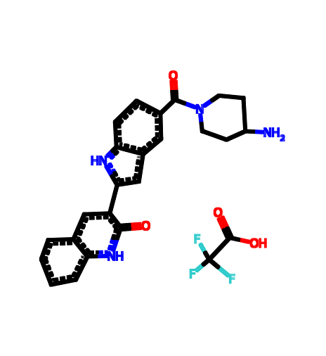 NC1CCN(C(=O)c2ccc3[nH]c(-c4cc5ccccc5[nH]c4=O)cc3c2)CC1.O=C(O)C(F)(F)F